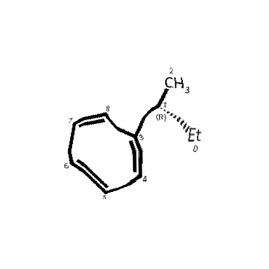 CC[C@@H](C)c1ccccc1